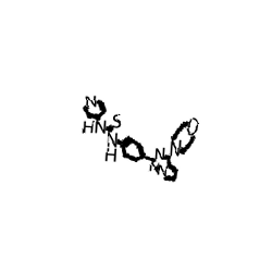 S=C(Nc1ccncc1)Nc1ccc(-c2nc(N3CCOCC3)c3cccn3n2)cc1